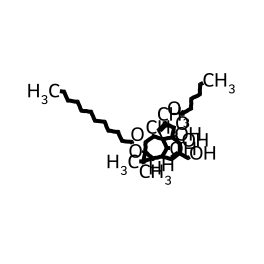 CCCCCCCCCCCC(=O)O[C@@]12C[C@@H](C)[C@]34C=C(C)[C@H](OC(=O)CCCCC)[C@@]3(O)[C@H](O)C(CO)=C[C@H](C4O)[C@@H]1C2(C)C